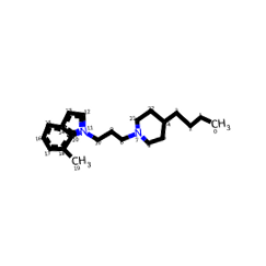 CCCCC1CCN(CCCn2ccc3cccc(C)c32)CC1